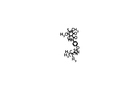 CN1C(=O)C(C(=O)Nc2ccc(Oc3nnc(C(C)(C)C)s3)cc2)C(=O)N(C)C1=S